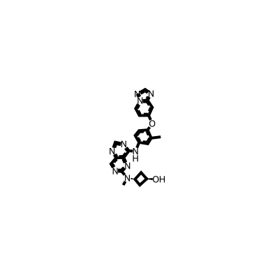 Cc1cc(Nc2ncnc3cnc(N(C)[C@H]4C[C@H](O)C4)nc23)ccc1Oc1ccn2ncnc2c1